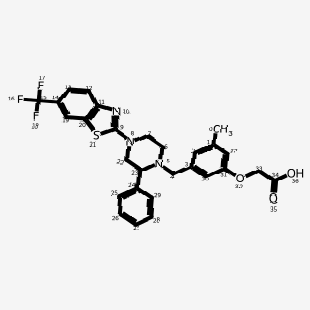 Cc1cc(CN2CCN(c3nc4ccc(C(F)(F)F)cc4s3)CC2c2ccccc2)cc(OCC(=O)O)c1